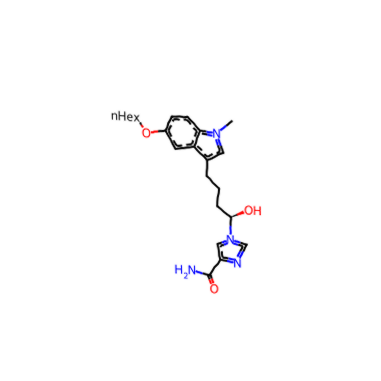 CCCCCCOc1ccc2c(c1)c(CCC[C@@H](O)n1cnc(C(N)=O)c1)cn2C